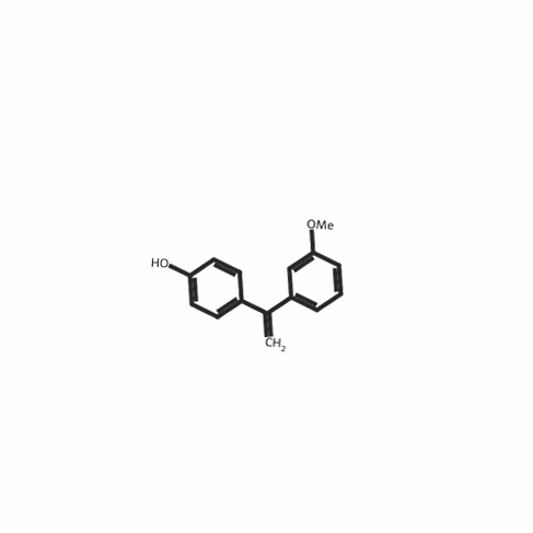 C=C(c1ccc(O)cc1)c1cccc(OC)c1